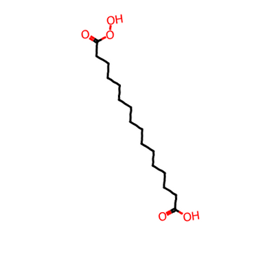 O=C(O)CCCCCCCCCCCCCCC(=O)OO